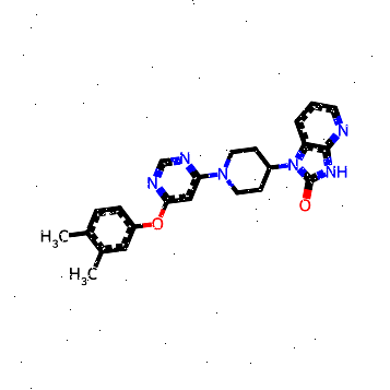 Cc1ccc(Oc2cc(N3CCC(n4c(=O)[nH]c5ncccc54)CC3)ncn2)cc1C